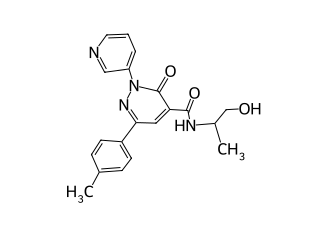 Cc1ccc(-c2cc(C(=O)NC(C)CO)c(=O)n(-c3cccnc3)n2)cc1